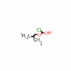 CC(C)COC(O)Cl